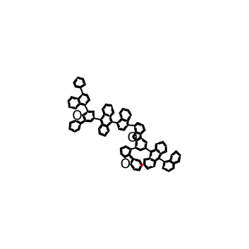 c1ccc(-c2ccc(-c3cc(-c4c5ccccc5c(-c5ccc(-c6cccc7c6oc6c(-c8cccc9oc%10ccccc%10c89)cc(-c8c9ccccc9c(-c9cccc%10ccccc9%10)c9ccccc89)cc67)c6ccccc56)c5ccccc45)cc4c3oc3ccccc34)c3ccccc23)cc1